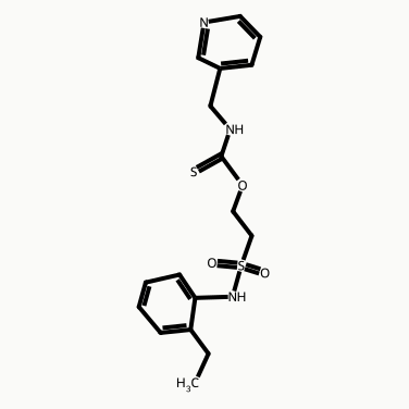 CCc1ccccc1NS(=O)(=O)CCOC(=S)NCc1cccnc1